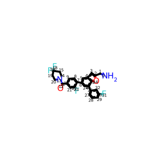 NCc1cc2cc(-c3ccc(C(=O)N4CCC(F)(F)CC4)cc3F)cc(-c3cccc(F)c3)c2o1